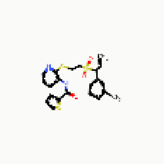 C=CC(c1cccc(C(F)(F)F)c1)S(=O)(=O)CCSc1ncccc1NC(=O)c1cccs1